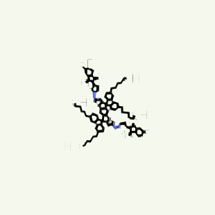 CCCCCCc1ccc(C2(c3ccc(CCCCCC)cc3)c3cc4c(cc3-c3sc(/C=c5\ccc(=C6C(=O)c7cc(F)c(F)cc7C6=O)s5)cc32)C(c2ccc(CCCCCC)cc2)(c2ccc(CCCCCC)cc2)c2cc(/C=c3\ccc(=C5C(=O)c6cc(F)c(F)cc6C5=O)s3)sc2-4)cc1